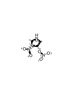 O=[N+]([O-])[O-].O=[N+]([O-])[n+]1cc[nH]c1